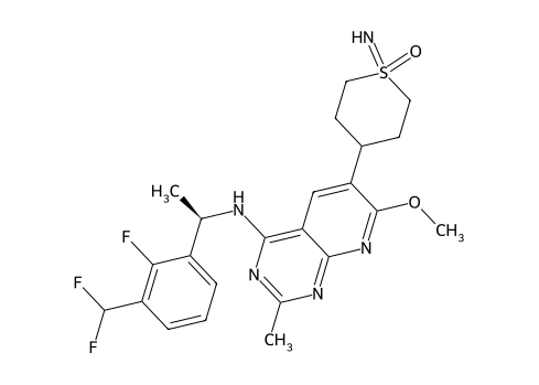 COc1nc2nc(C)nc(N[C@H](C)c3cccc(C(F)F)c3F)c2cc1C1CCS(=N)(=O)CC1